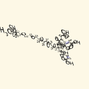 CC(C)(C)OC(=O)CCOCCOCCOCCOCCOCC(CNC(=O)/C=C\C(=O)O)(CNC(=O)/C=C\C(=O)O)CNC(=O)CCC(=O)O